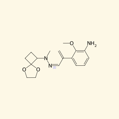 C=C(/C=N\N(C)C1CCC12OCCO2)c1cccc(N)c1OC